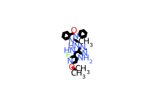 CC(C)Oc1ccc(C(=N)c2c(N)ncnc2NC(C)c2nc3ccccc3c(=O)n2-c2ccccc2)c(F)n1